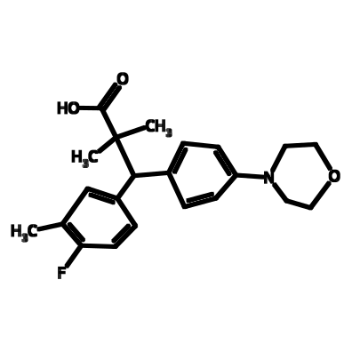 Cc1cc(C(c2ccc(N3CCOCC3)cc2)C(C)(C)C(=O)O)ccc1F